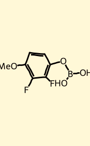 COc1ccc(OB(O)O)c(F)c1F